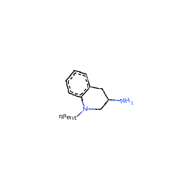 CCCCCN1CC(N)Cc2ccccc21